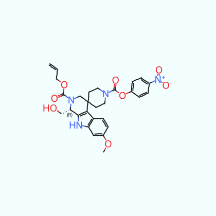 C=CCOC(=O)N1CC2(CCN(C(=O)Oc3ccc([N+](=O)[O-])cc3)CC2)c2c([nH]c3cc(OC)ccc23)[C@@H]1CO